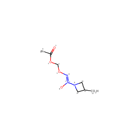 CC(C)C(=O)OCO/N=[N+](\[O-])N1CC(C(=O)O)C1